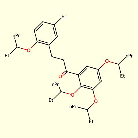 CCCC(CC)Oc1cc(OC(CC)CCC)c(OC(CC)CCC)c(C(=O)CCc2cc(CC)ccc2OC(CC)CCC)c1